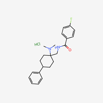 CN(C)C1(CNC(=O)c2ccc(F)cc2)CCC(c2ccccc2)CC1.Cl